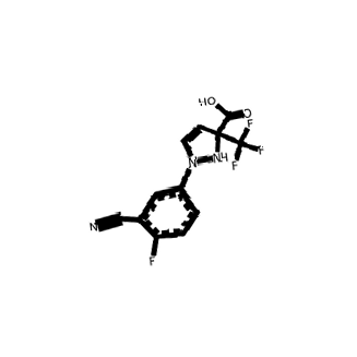 N#Cc1cc(N2C=CC(C(=O)O)(C(F)(F)F)N2)ccc1F